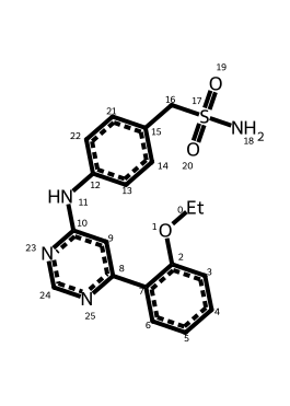 CCOc1ccccc1-c1cc(Nc2ccc(CS(N)(=O)=O)cc2)ncn1